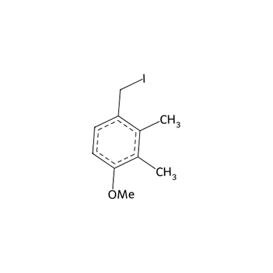 COc1ccc(CI)c(C)c1C